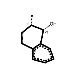 C[C@H]1CCc2ccccc2[C@H]1O